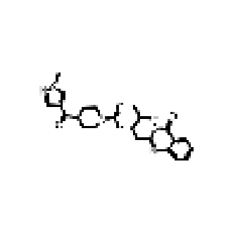 CC(C)[C@@H](CC(=O)N1CCC(C(=O)c2cnn(C)c2)CC1)Cc1nc2ccccc2c(=O)[nH]1